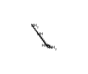 NCCCCCCCCCNCCCCCCCCCCCCNC1CCC(N)CC1